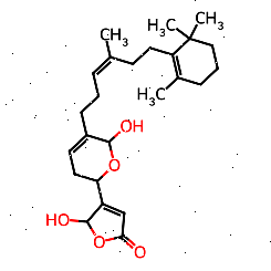 CC(=CCCC1=CCC(C2=CC(=O)OC2O)OC1O)CCC1=C(C)CCCC1(C)C